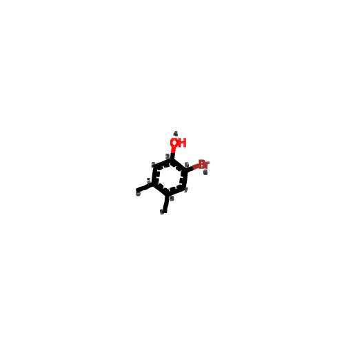 Cc1cc(O)c(Br)cc1C